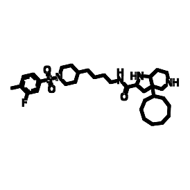 Cc1ccc(S(=O)(=O)N2CCC(CCCCNC(=O)C3CC4(C5CCCCCCCC5)CNCCC4N3)CC2)cc1F